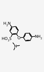 CN(C)C.Nc1ccc(Oc2ccc(N)cc2S(=O)(=O)O)cc1